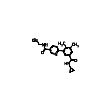 Cc1cc(C(=O)NC2CC2)cc(-c2ccc(C(=O)NCC(C)(C)C)cn2)c1C